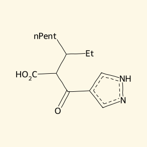 CCCCCC(CC)C(C(=O)O)C(=O)c1cn[nH]c1